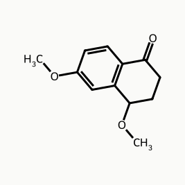 COc1ccc2c(c1)C(OC)CCC2=O